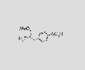 COCC(C)Cc1ccc(S(=O)(=O)O)cc1